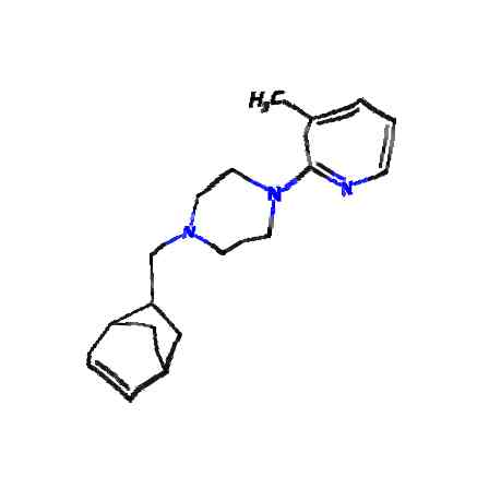 Cc1cccnc1N1CCN(CC2CC3C=CC2C3)CC1